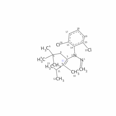 C=NN(/C(CC(C)(C)C)=C(\C)C(C)C)c1c(Cl)cccc1Cl